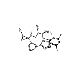 CC(C)C1CC1(NCC(N=O)C(N)Cc1cc(F)cc(F)c1)c1cccc(-n2cccn2)c1